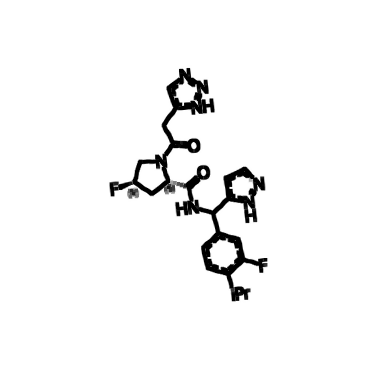 CC(C)c1ccc(C(NC(=O)[C@@H]2C[C@@H](F)CN2C(=O)Cc2cnn[nH]2)c2ccn[nH]2)cc1F